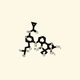 [2H]C([2H])([2H])CC(=O)c1cnc(NC(=O)C2CC2)cc1Nc1cccc2c1N(C)C1(COC1)c1c-2nc(C)n1C